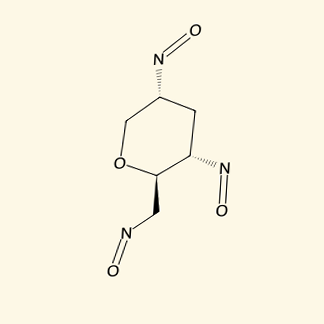 O=NC[C@H]1OC[C@H](N=O)C[C@@H]1N=O